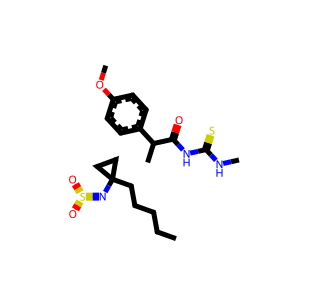 CCCCCC1(N=S(=O)=O)CC1.CNC(=S)NC(=O)C(C)c1ccc(OC)cc1